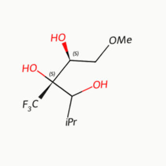 COC[C@H](O)[C@@](O)(C(O)C(C)C)C(F)(F)F